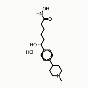 CN1CCC(c2ccc([C@H](O)CCCCC(=O)NO)cc2)CC1.Cl